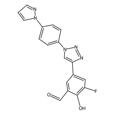 O=Cc1cc(-c2cn(-c3ccc(-n4cccn4)cc3)nn2)cc(F)c1O